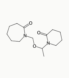 CC(OCN1CCCCCC1=O)N1CCCCC1=O